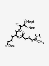 CCCCCCCCCCCCCC(COC(=O)C(CCCCCCC)CCCCCCCCC)OC(=O)CCCN(C)C